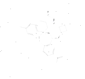 COC(=O)c1ccc2c(c1)N(C[C@@H]1CC[C@H]1/C=C/C=O)C[C@@]1(CCCc3cc(Cl)ccc31)CO2